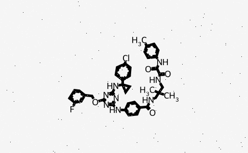 Cc1ccc(NC(=O)C(=O)NCC(C)(C)CNC(=O)c2ccc(Nc3nc(NC4(c5ccc(Cl)cc5)CC4)nc(OCc4cccc(F)c4)n3)cc2)cc1